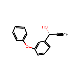 C#C[C@@H](O)c1cccc(Oc2ccccc2)c1